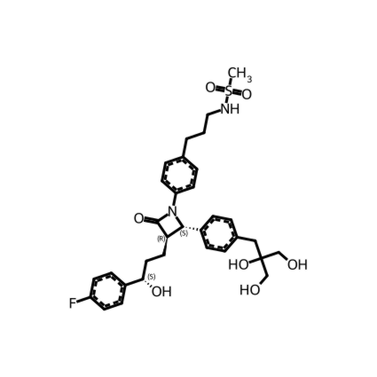 CS(=O)(=O)NCCCc1ccc(N2C(=O)[C@H](CC[C@H](O)c3ccc(F)cc3)[C@H]2c2ccc(CC(O)(CO)CO)cc2)cc1